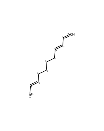 [CH]=CC=CCCCCC=CCCC